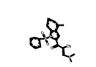 CN(C)/C=C(\C#N)C(=O)c1cc2c(I)cccc2n1S(=O)(=O)c1ccccc1